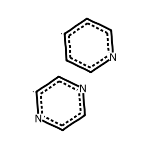 [c]1ccncc1.[c]1cnccn1